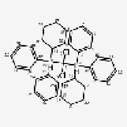 ClC(Cl)([PH](c1ccccc1)(c1ccccc1)C1CCCCC1)[PH](c1ccccc1)(c1ccccc1)C1CCCCC1